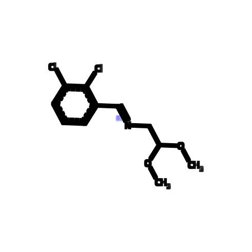 COC(C/N=C/c1cccc(Cl)c1Cl)OC